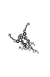 CCCCOCCC(C)(C)c1ccc(-c2cc(C3=C(c4cc(-c5ccc(C(C)(C)C)s5)sc4-c4ccc(OCCCCC#N)cc4)C(F)(F)C(F)(F)C3(F)F)c(-c3ccc(OCCCCC#N)cc3)s2)s1